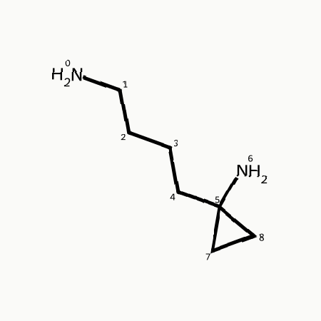 NCCCCC1(N)CC1